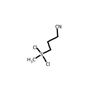 CS(Cl)(Cl)CCCC#N